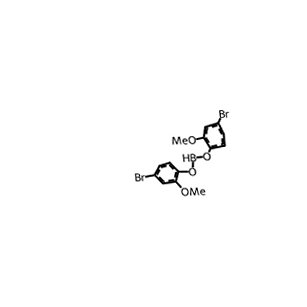 COc1cc(Br)ccc1OBOc1ccc(Br)cc1OC